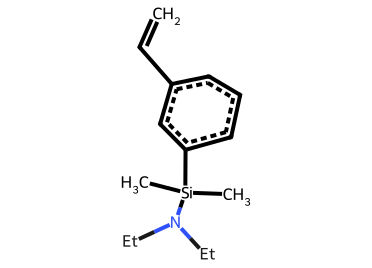 C=Cc1cccc([Si](C)(C)N(CC)CC)c1